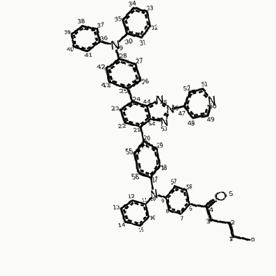 CCCCC(=O)c1ccc(N(c2ccccc2)c2ccc(-c3ccc(-c4ccc(N(c5ccccc5)c5ccccc5)cc4)c4nn(-c5ccncc5)nc34)cc2)cc1